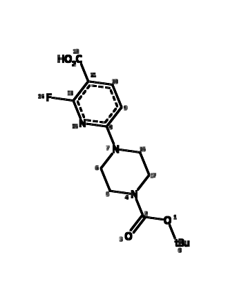 CC(C)(C)OC(=O)N1CCN(c2ccc(C(=O)O)c(F)n2)CC1